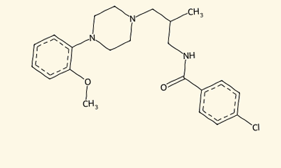 COc1ccccc1N1CCN(CC(C)CNC(=O)c2ccc(Cl)cc2)CC1